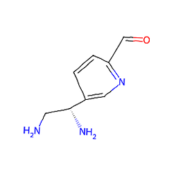 NC[C@@H](N)c1ccc(C=O)nc1